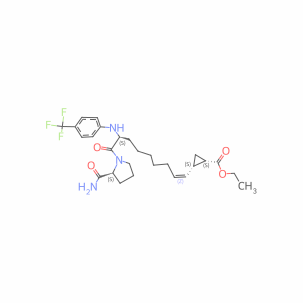 CCOC(=O)[C@H]1C[C@H]1/C=C\CCCCC[C@H](Nc1ccc(C(F)(F)F)cc1)C(=O)N1CCC[C@H]1C(N)=O